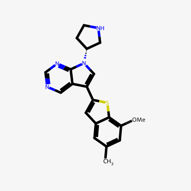 COc1cc(C)cc2cc(-c3cn([C@@H]4CCNC4)c4ncncc34)sc12